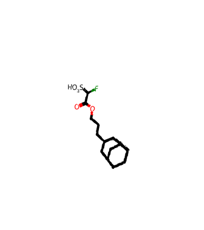 O=C(OCCCC1CC2CCCC(C1)C2)C(F)S(=O)(=O)O